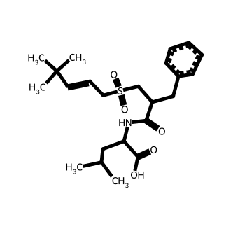 CC(C)CC(NC(=O)C(Cc1ccccc1)CS(=O)(=O)CC=CC(C)(C)C)C(=O)O